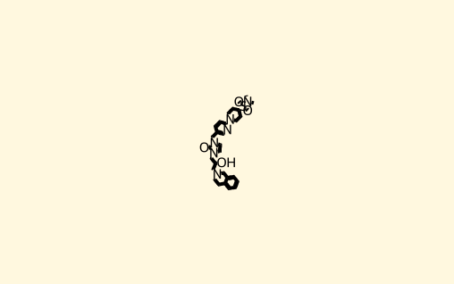 CN(C)S(=O)(=O)C1CCN(c2ccc(CN3CCN(CC(O)CN4CCc5ccccc5C4)C3=O)cn2)CC1